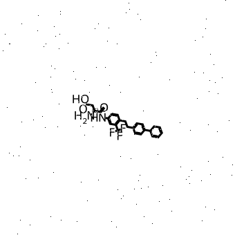 N[C@@H](CC(=O)O)C(=O)Nc1ccc(CCc2ccc(C3C=CC=CC3)cc2)c(C(F)(F)F)c1